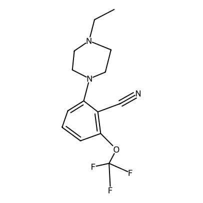 CCN1CCN(c2cccc(OC(F)(F)F)c2C#N)CC1